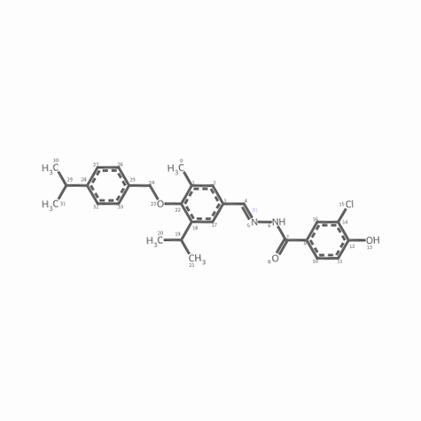 Cc1cc(/C=N/NC(=O)c2ccc(O)c(Cl)c2)cc(C(C)C)c1OCc1ccc(C(C)C)cc1